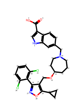 O=C(O)c1c[nH]c2cc(CN3CCC[C@@H](OCc4c(-c5c(Cl)cccc5Cl)noc4C4CC4)CC3)ccc12